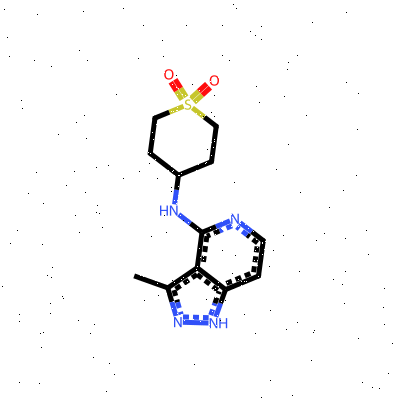 Cc1n[nH]c2ccnc(NC3CCS(=O)(=O)CC3)c12